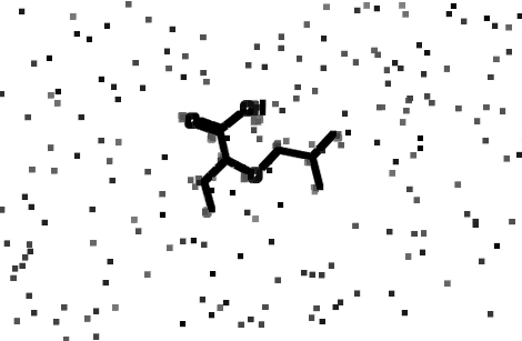 CCC(OCC(C)C)C(=O)O